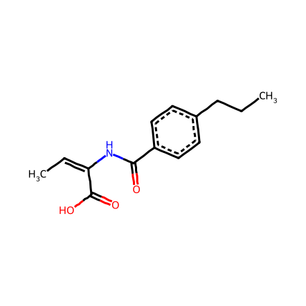 C/C=C(/NC(=O)c1ccc(CCC)cc1)C(=O)O